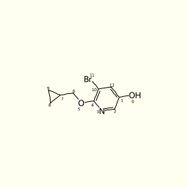 Oc1cnc(OCC2CC2)c(Br)c1